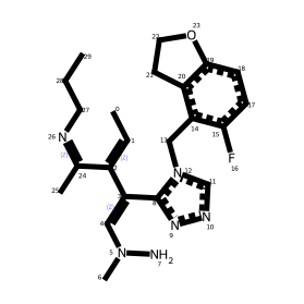 C/C=C(C(=C/N(C)N)/c1nncn1Cc1c(F)ccc2c1CCO2)\C(C)=N/CCC